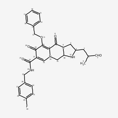 CC(C=O)CC1CN2C(=O)c3c(OCc4ccccc4)c(=O)c(C(=O)NCc4ccc(F)cc4)cn3CC2N1